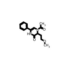 COCCC1C(=O)NC(c2ccccc2)=CN1C(C)=O